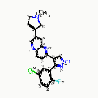 CN1CC=C(c2cnc3ccc(-c4c[nH]nc4-c4cc(Cl)ccc4F)nc3c2)C1